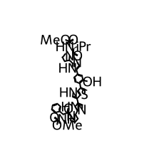 COC(=O)N[C@H](C(=O)N1CCCC1c1ncc(-c2ccc(-c3csc4c(-c5cnc(C6CCCN6C(=O)[C@H](NC(=O)OC)c6ccccc6)[nH]5)c[nH]c34)c(O)c2)[nH]1)C(C)C